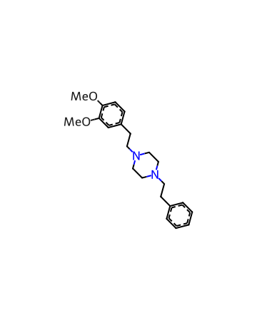 COc1ccc(CCN2CCN(CCc3ccccc3)CC2)cc1OC